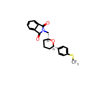 O=C1c2ccccc2C(=O)N1C[C@H]1CCC[C@@H](c2ccc(SC(F)(F)F)cc2)O1